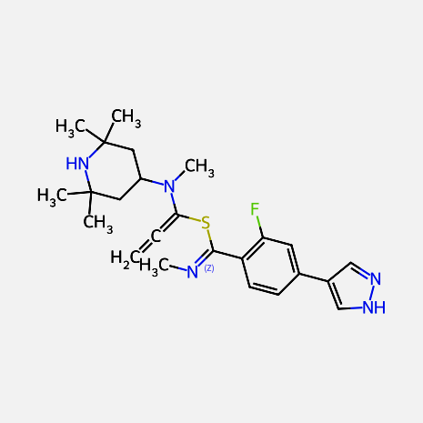 C=C=C(S/C(=N\C)c1ccc(-c2cn[nH]c2)cc1F)N(C)C1CC(C)(C)NC(C)(C)C1